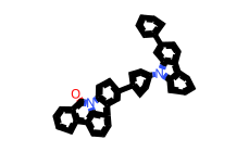 O=c1c2ccccc2c2cccc3c4cc(-c5ccc(-n6c7ccccc7c7ccc(-c8ccccc8)cc76)cc5)ccc4n1c23